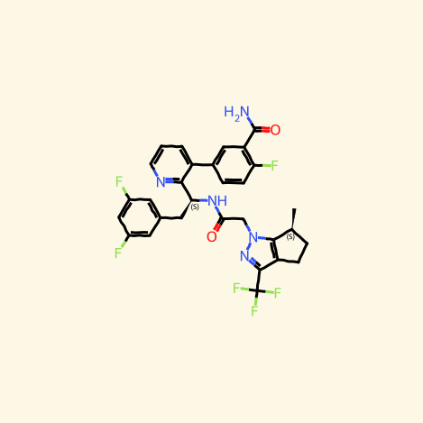 C[C@H]1CCc2c(C(F)(F)F)nn(CC(=O)N[C@@H](Cc3cc(F)cc(F)c3)c3ncccc3-c3ccc(F)c(C(N)=O)c3)c21